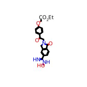 CCOC(=O)COc1ccc(C(=O)CN2Cc3cc(C(=N)NO)ccc3C2=O)cc1